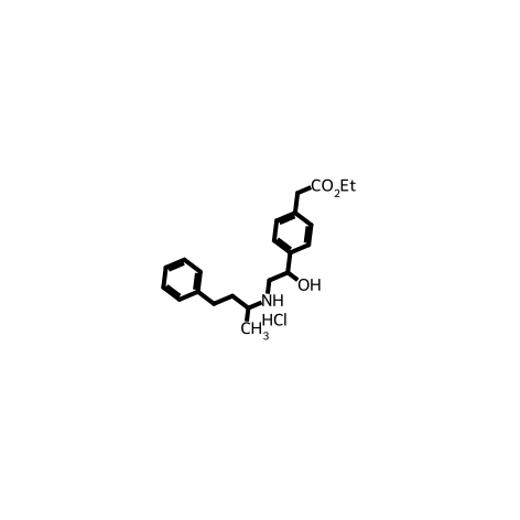 CCOC(=O)Cc1ccc(C(O)CNC(C)CCc2ccccc2)cc1.Cl